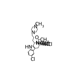 CC(=O)N1CCc2c([nH]c3ccc(Cl)cc23)C1CCCN1CCN(C)CC1.Cl.Cl.Cl.Cl.Cl